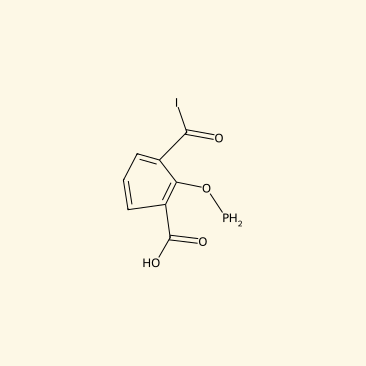 O=C(O)c1cccc(C(=O)I)c1OP